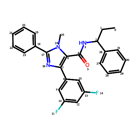 CCC(NC(=O)c1c(-c2cc(F)cc(F)c2)nc(-c2ccccc2)n1C)c1ccccc1